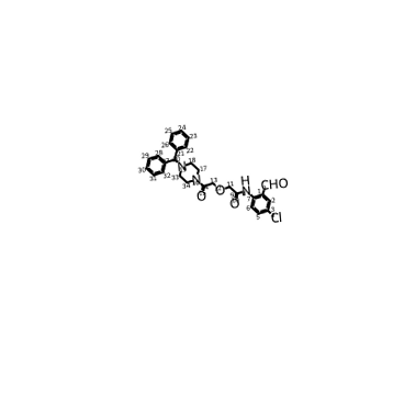 O=Cc1cc(Cl)ccc1NC(=O)COCC(=O)N1CCN(C(c2ccccc2)c2ccccc2)CC1